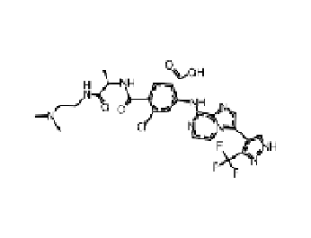 C[C@@H](NC(=O)c1ccc(Nc2nccn3c(-c4c[nH]nc4C(F)(F)F)cnc23)cc1Cl)C(=O)NCCN(C)C.O=CO